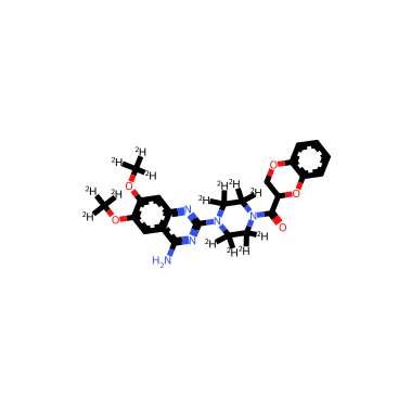 [2H]C([2H])([2H])Oc1cc2nc(N3C([2H])([2H])C([2H])([2H])N(C(=O)C4COc5ccccc5O4)C([2H])([2H])C3([2H])[2H])nc(N)c2cc1OC([2H])([2H])[2H]